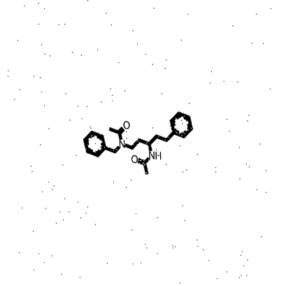 CC(=O)NC(CCc1ccccc1)CCN(Cc1ccccc1)C(C)=O